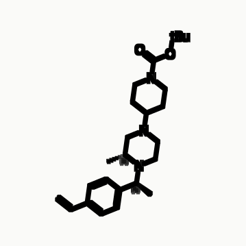 C=Cc1ccc([C@H](C)N2CCN(C3CCN(C(=O)OC(C)(C)C)CC3)C[C@H]2C)cc1